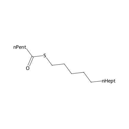 CCCCCCCCCCCCSC(=O)CCCCC